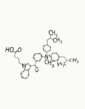 CC(C)Cc1ccc([N+](C)(c2ccc(CC(C)C)cc2)c2cccc(C(=O)c3cn(CCCC(=O)O)c4ccccc34)c2)cc1